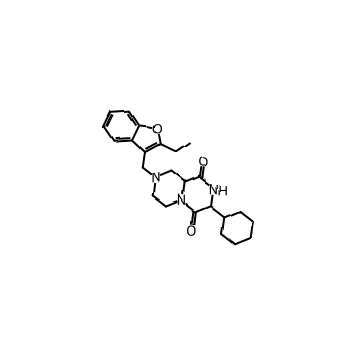 CCc1oc2ccccc2c1CN1CCN2C(=O)C(C3CCCCC3)NC(=O)C2C1